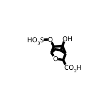 O=C(O)C1OC2CC(O)C1CC2OS(=O)(=O)O